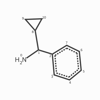 NC(c1[c]cccc1)C1CC1